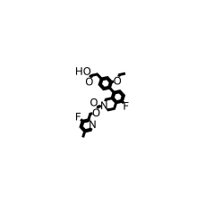 CCOc1cc(CC(=O)O)ccc1-c1ccc(F)c2c1CN(C(=O)OCc1ncc(C)cc1F)CC2